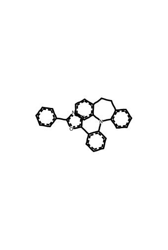 c1ccc(-c2nnc(-c3ccccc3N3c4ccccc4CCc4ccccc43)o2)cc1